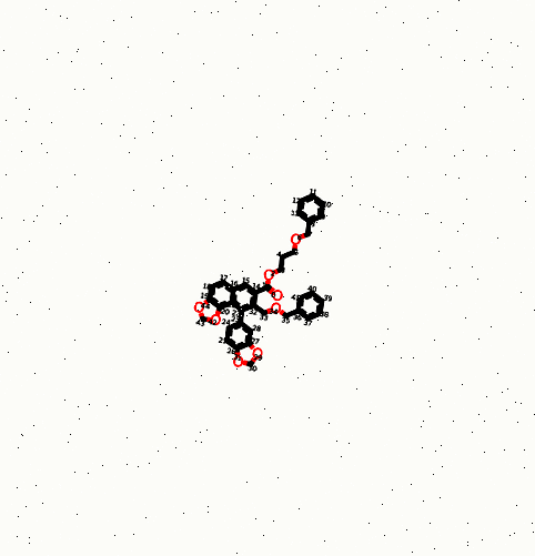 O=C(OCCCOCc1ccccc1)c1cc2ccc3c(c2c(-c2ccc4c(c2)OCO4)c1COCc1ccccc1)OCO3